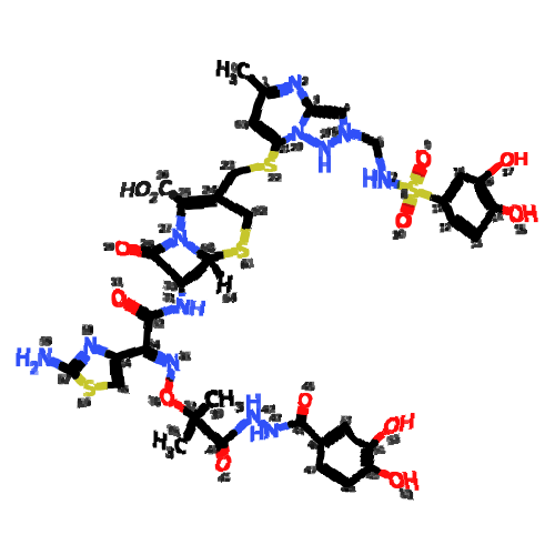 CC1=NC2=CN(CNS(=O)(=O)c3ccc(O)c(O)c3)NN2C(SCC2=C(C(=O)O)N3C(=O)[C@@H](NC(=O)C(=NOC(C)(C)C(=O)NNC(=O)c4ccc(O)c(O)c4)c4csc(N)n4)[C@H]3SC2)=C1